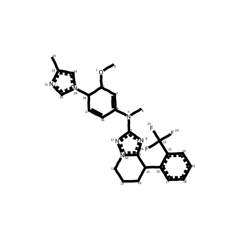 COC1C=C(N(C)c2nc3n(n2)CCCC3c2ccccc2C(F)(F)F)C=CC1n1cnc(C)c1